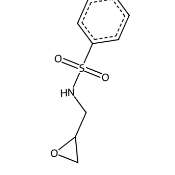 O=S(=O)(NCC1CO1)c1ccccc1